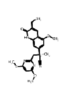 CCc1cc2c(OC)cc([C@@](C)(C#N)Cc3nc(OC)cc(OC)n3)cc2[nH]c1=O